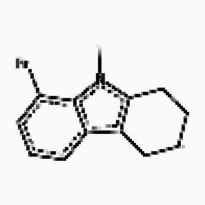 Cn1c2c(c3cccc(Br)c31)C[CH]CC2